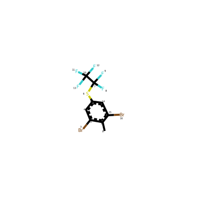 Cc1c(Br)cc(SC(F)(F)C(F)(F)F)cc1Br